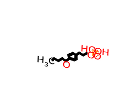 CCCCC(=O)c1ccc(CCCOP(=O)(O)O)cc1